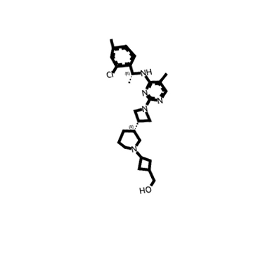 Cc1ccc([C@@H](C)Nc2nc(N3CC([C@H]4CCCN(C5CC(CO)C5)C4)C3)ncc2C)c(Cl)c1